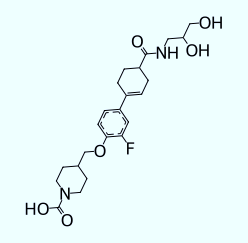 O=C(NCC(O)CO)C1CC=C(c2ccc(OCC3CCN(C(=O)O)CC3)c(F)c2)CC1